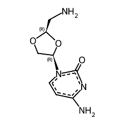 NC[C@@H]1OC[C@H](n2ccc(N)nc2=O)O1